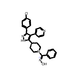 O/N=C(\c1ccccc1)N1CCC(c2[nH]nc(-c3ccc(Cl)cc3)c2-c2ccncc2)CC1